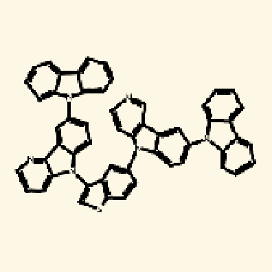 c1ccc2c(c1)c1ccccc1n2-c1ccc2c(c1)c1cnccc1n2-c1ccc2scc(-n3c4ccc(-n5c6ccccc6c6ccccc65)cc4c4ncccc43)c2c1